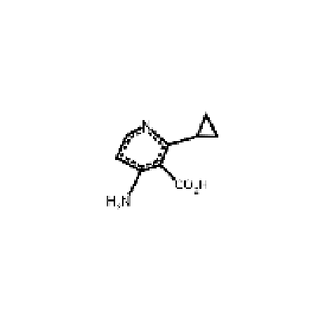 Nc1ccnc(C2CC2)c1C(=O)O